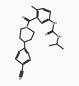 Cc1ccc(NC(=O)NC(C)C)cc1C(=O)N1CCC(c2ccc(C#N)cc2)CC1